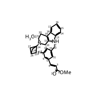 COC(=O)/C=C/c1cc(F)c([C@H]2c3[nH]c4ccccc4c3C[C@@H](C)N2C23CC(C2)C3)c(F)c1